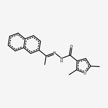 CC(=NNC(=O)c1cc(C)oc1C)c1ccc2ccccc2c1